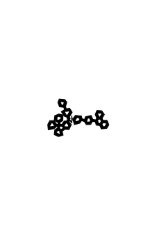 c1ccc(-c2ccc(N(c3ccc(-c4ccc(-c5cc6ccccc6c6ccccc56)cc4)cc3)c3ccc4c(c3)C(c3ccccc3)(c3ccccc3)c3ccccc3-4)cc2)cc1